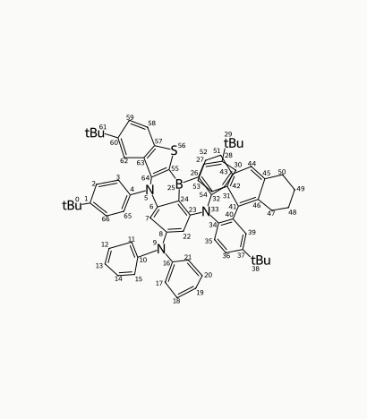 CC(C)(C)c1ccc(N2c3cc(N(c4ccccc4)c4ccccc4)cc4c3B(c3cc(C(C)(C)C)ccc3N4c3ccc(C(C)(C)C)cc3-c3c4c(cc5c3CCCC5)CCCC4)c3sc4ccc(C(C)(C)C)cc4c32)cc1